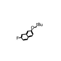 CC(C)(C)COc1ccc2ccc(F)cc2c1